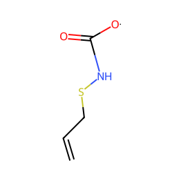 C=CCSNC([O])=O